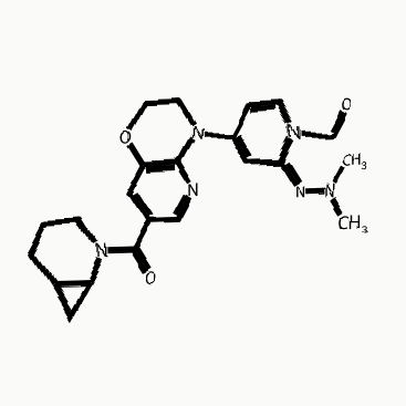 CN(C)/N=c1/cc(N2CCOc3cc(C(=O)N4CCCC5CC54)cnc32)ccn1C=O